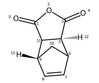 O=C1OC(=O)[C@H]2C3C=C[C@@H](C3)C12